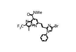 CNC(=O)c1cc(C=Cc2nc(Br)cn2-c2ccccc2)nn2c(C)c(C(F)(F)F)nc12